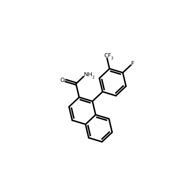 NC(=O)c1ccc2ccccc2c1-c1ccc(F)c(C(F)(F)F)c1